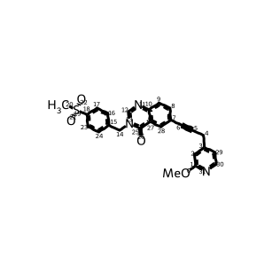 COc1cc(CC#Cc2ccc3ncn(Cc4ccc(S(C)(=O)=O)cc4)c(=O)c3c2)ccn1